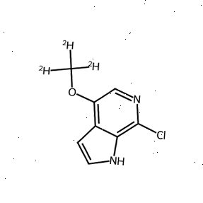 [2H]C([2H])([2H])Oc1cnc(Cl)c2[nH]ccc12